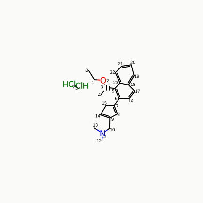 CC[O][Ti]([CH3])[c]1c(C2=CC(CN(C)C)=CC2)ccc2ccccc12.Cl.Cl